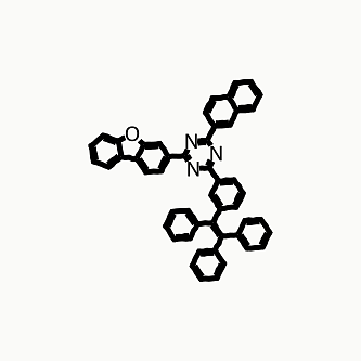 c1ccc(C(=C(c2ccccc2)c2cccc(-c3nc(-c4ccc5ccccc5c4)nc(-c4ccc5c(c4)oc4ccccc45)n3)c2)c2ccccc2)cc1